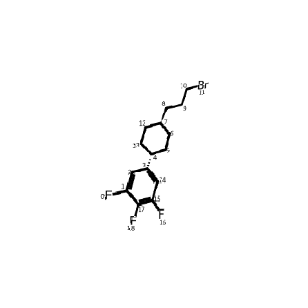 Fc1cc([C@H]2CC[C@H](CCCBr)CC2)cc(F)c1F